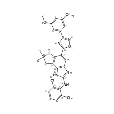 COc1cc(OC)cc(-c2noc(-c3cc4nc(Nc5c(Cl)cccc5Cl)[nH]c4c4c3OC(C)(C)C4)n2)c1